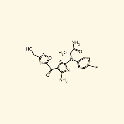 C[C@H](C(N)=O)N(c1ccc(F)cc1)c1nc(N)c(C(=O)c2cc(CO)no2)s1